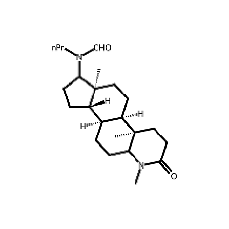 CCCN(C=O)C1CC[C@H]2[C@@H]3CCC4N(C)C(=O)CC[C@]4(C)[C@@H]3CC[C@]12C